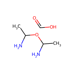 CC(N)OC(C)N.O=CO